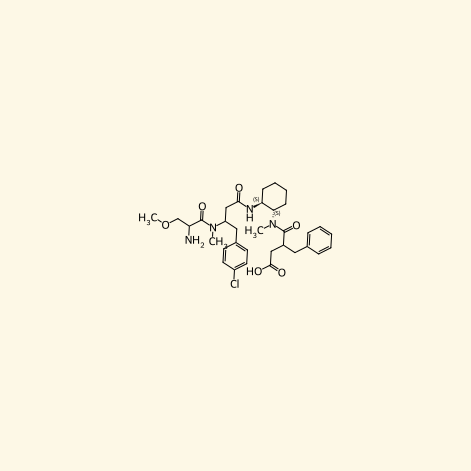 COCC(N)C(=O)N(C)C(CC(=O)N[C@H]1CCCC[C@@H]1N(C)C(=O)C(CC(=O)O)Cc1ccccc1)Cc1ccc(Cl)cc1